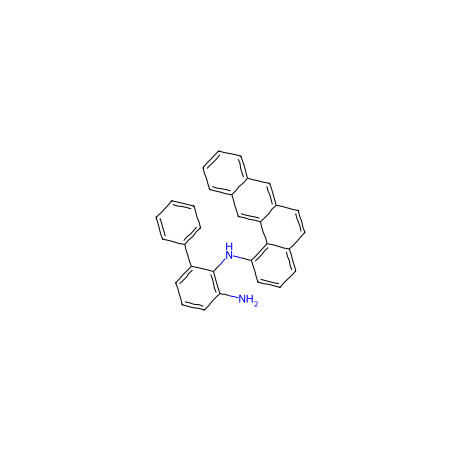 Nc1cccc(-c2ccccc2)c1Nc1cccc2ccc3cc4ccccc4cc3c12